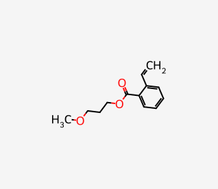 C=Cc1ccccc1C(=O)OCCCOC